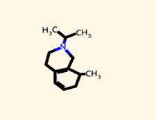 CC1CC=CC2=C1CN(C(C)C)CC2